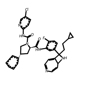 O=C(Nc1cc(C2(CCC3CC3)NC3C=CN=CC=C32)ccc1F)[C@H]1C[C@H](c2ccccc2)CN1C(=O)Nc1ccc(Cl)cn1